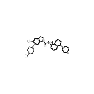 CCN1CCN(c2cc3c(cc2Cl)CCN3C(=O)Nc2cccc3c(-c4ccncc4)cccc23)CC1